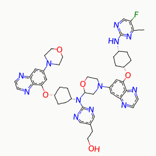 Cc1nc(N[C@H]2CC[C@@H](Oc3cc(N4CCOC(N(c5ncc(CCO)cn5)[C@H]5CC[C@@H](Oc6cc(N7CCOCC7)cc7nccnc67)CC5)C4)cc4nccnc34)CC2)ncc1F